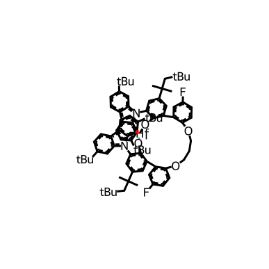 CC(C)(C)CC(C)(C)c1cc2c(c(-n3c4cc(C(C)(C)C)ccc4c4ccc(C(C)(C)C)cc43)c1)[O][Hf]([CH3])([CH3])[O]c1c(cc(C(C)(C)CC(C)(C)C)cc1-n1c3cc(C(C)(C)C)ccc3c3ccc(C(C)(C)C)cc31)-c1cc(F)ccc1OCCCOc1ccc(F)cc1-2